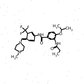 CCC(=O)Nc1cc(C(=O)NC2=CC(C(F)(F)F)C(=CN3CCN(C)CC3)C=C2)ccc1OC(C)C